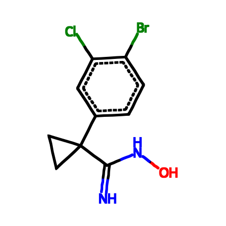 N=C(NO)C1(c2ccc(Br)c(Cl)c2)CC1